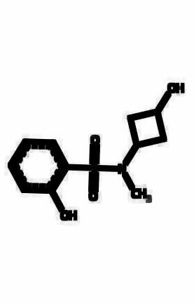 CN(C1CC(O)C1)S(=O)(=O)c1ccccc1O